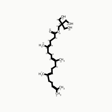 CC(C)=CCCC(C)=CCCC(C)=CCCC(C)=CCCC(=O)OCC(CO)(CO)CO